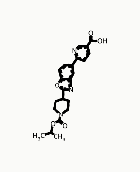 CC(C)OC(=O)N1CCC(c2nc3cc(-c4ccc(C(=O)O)cn4)ccc3o2)CC1